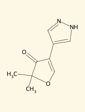 CC1(C)OC=C(c2cn[nH]c2)C1=O